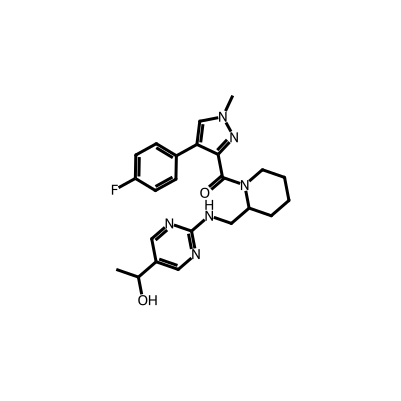 CC(O)c1cnc(NCC2CCCCN2C(=O)c2nn(C)cc2-c2ccc(F)cc2)nc1